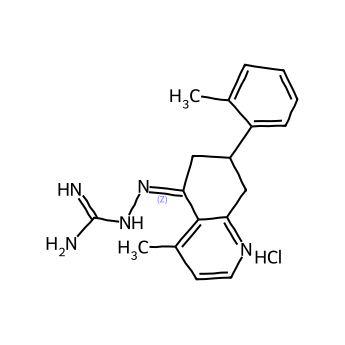 Cc1ccccc1C1C/C(=N/NC(=N)N)c2c(C)ccnc2C1.Cl